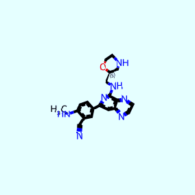 CNc1ccc(-c2cc3nccnc3c(NC[C@@H]3CNCCO3)n2)cc1C#N